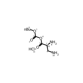 CCCCOC(=O)OC(=O)[C@@H](N)CN.Cl